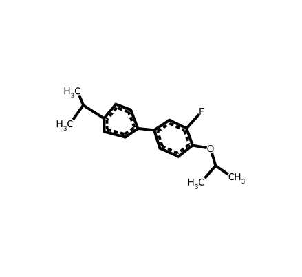 CC(C)Oc1ccc(-c2ccc(C(C)C)cc2)cc1F